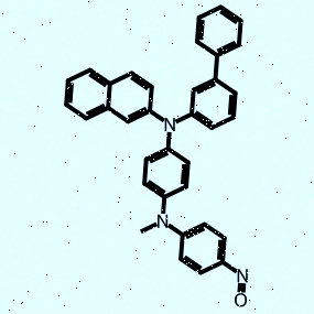 CN(c1ccc(N=O)cc1)c1ccc(N(c2cccc(-c3ccccc3)c2)c2ccc3ccccc3c2)cc1